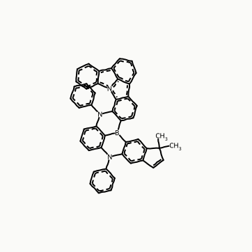 CC1(C)C=Cc2cc3c(cc21)B1c2ccc4c5cccc6c7ccccc7n(c4c2N(c2ccccc2)c2cccc(c21)N3c1ccccc1)c65